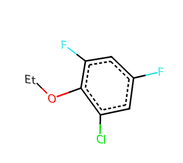 CCOc1c(F)cc(F)cc1Cl